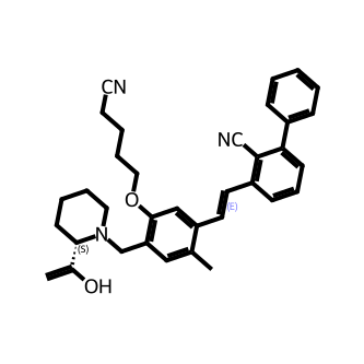 C=C(O)[C@@H]1CCCCN1Cc1cc(C)c(/C=C/c2cccc(-c3ccccc3)c2C#N)cc1OCCCCC#N